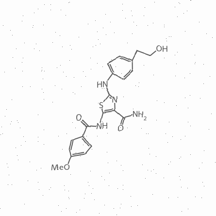 COc1ccc(C(=O)Nc2sc(Nc3ccc(CCO)cc3)nc2C(N)=O)cc1